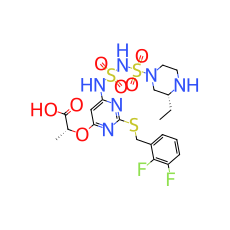 CC[C@@H]1CN(S(=O)(=O)NS(=O)(=O)Nc2cc(O[C@H](C)C(=O)O)nc(SCc3cccc(F)c3F)n2)CCN1